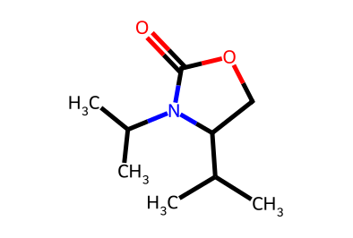 CC(C)C1COC(=O)N1C(C)C